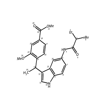 CCCCC(CC)C(=O)Nc1ccc2[nH]cc(C(C)c3ccc(C(=O)OC)cc3OC)c2c1